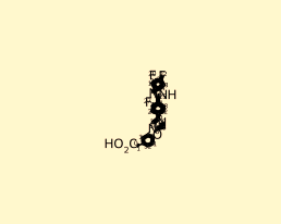 O=C(O)C[C@H]1CC[C@@H](Oc2cnc(-c3ccc(-c4nc5cc(F)c(F)cc5[nH]4)c(F)c3)cn2)CC1